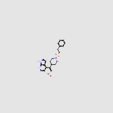 O=S(=O)(CCc1ccccc1)N1CCC(C2=CB(O)Oc3cnc4[nH]ccc4c32)CC1